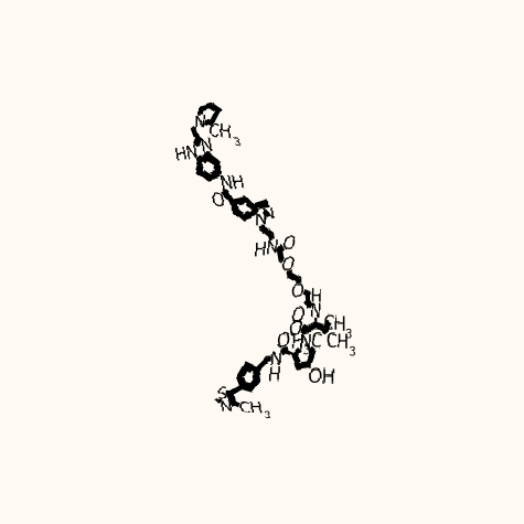 Cc1ncsc1-c1ccc(CNC(=O)[C@@H]2C[C@@H](O)CN2C(=O)[C@@H](NC(=O)COCCOCC(=O)NCCn2ncc3cc(C(=O)Nc4ccc5[nH]c(CN6CCC[C@@H]6C)nc5c4)ccc32)C(C)(C)C)cc1